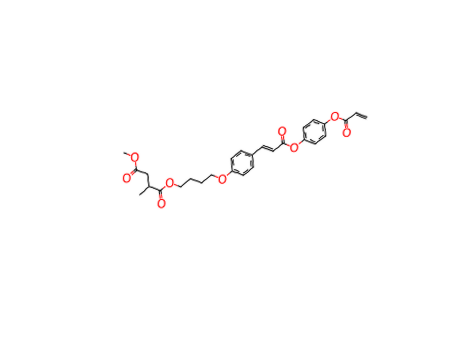 C=CC(=O)Oc1ccc(OC(=O)/C=C/c2ccc(OCCCCOC(=O)C(C)CC(=O)OC)cc2)cc1